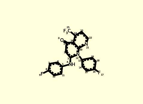 O=c1cc(Nc2ccc(F)cc2)n(-c2ccc(F)cc2)c2nccc(C(F)(F)F)c12